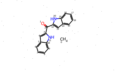 C.O=C(c1cc2ccccc2[nH]1)c1cc2ccccc2[nH]1